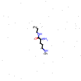 CC(C)CCNC(=O)[C@@H](N)CCCNC(C)C